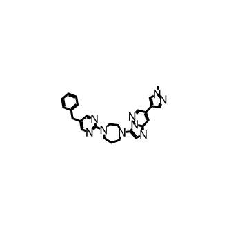 Cn1cc(-c2cnn3c(N4CCCN(c5ncc(Cc6ccccc6)cn5)CC4)cnc3c2)cn1